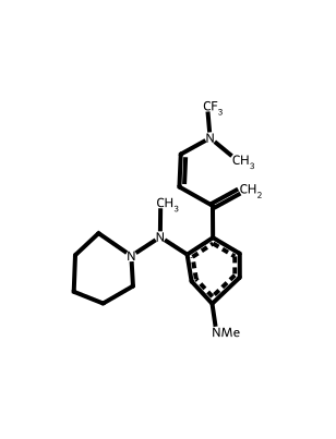 C=C(/C=C\N(C)C(F)(F)F)c1ccc(NC)cc1N(C)N1CCCCC1